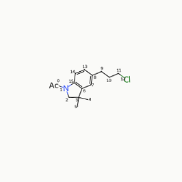 CC(=O)N1CC(C)(C)c2cc(CCCCl)ccc21